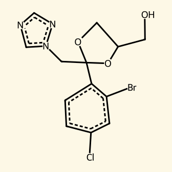 OCC1COC(Cn2cncn2)(c2ccc(Cl)cc2Br)O1